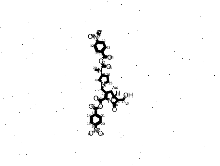 C[C@@H](O)C1C(=O)N2C(C(=O)OC(=O)c3ccc([N+](=O)[O-])cc3)=C(CN3CC[C@H](N(C)C(=O)OC(=O)c4ccc([N+](=O)[O-])cc4)C3)[C@H](C)[C@H]12